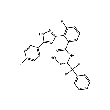 O=C(N[C@@H](CO)C(F)(F)c1ccccn1)c1cccc(F)c1-c1cc(-c2ccc(F)cc2)[nH]n1